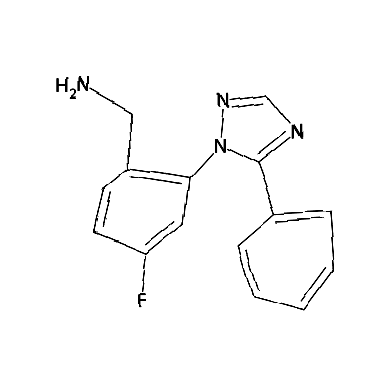 NCc1ccc(F)cc1-n1ncnc1-c1ccccc1